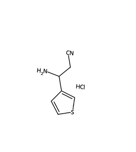 Cl.N#CCC(N)c1ccsc1